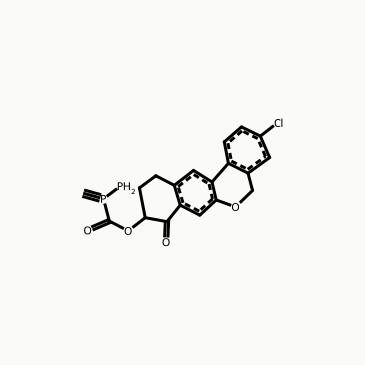 C#P(P)C(=O)OC1CCc2cc3c(cc2C1=O)OCc1cc(Cl)ccc1-3